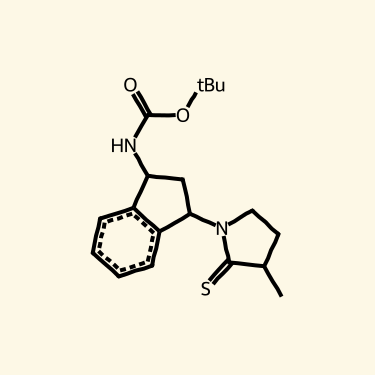 CC1CCN(C2CC(NC(=O)OC(C)(C)C)c3ccccc32)C1=S